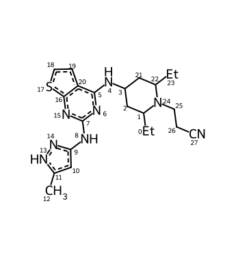 CCC1CC(Nc2nc(Nc3cc(C)[nH]n3)nc3sccc23)CC(CC)N1CCC#N